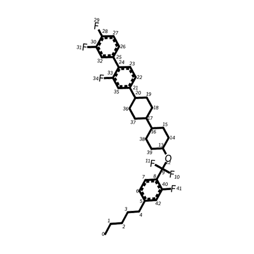 CCCCCc1ccc(C(F)(F)OC2CCC(C3CCC(c4ccc(-c5ccc(F)c(F)c5)c(F)c4)CC3)CC2)c(F)c1